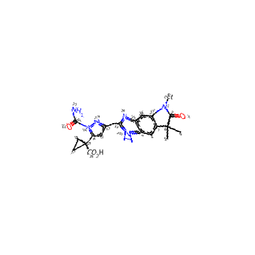 CCN1C(=O)C(C)(C)c2cc3[nH]c(-c4[c]c(C5(C(=O)O)CC5)n(C(N)=O)n4)nc3cc21